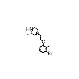 Cc1c(Br)cccc1OCCN1C[C@@H](C)N[C@@H](C)C1